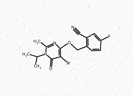 Cc1nc(OCc2ccc(F)cc2C#N)c(Br)c(=O)n1C(C)C